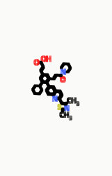 Cc1nc(C)c(-c2ccc3cc(-c4c(C=CC(=O)N5CCCCC5)cc(C=CC(=O)O)cc4C4CCCCC4)ccc3n2)s1